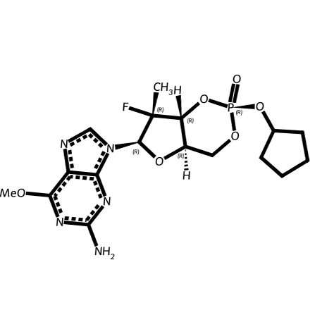 COc1nc(N)nc2c1ncn2[C@@H]1O[C@@H]2CO[P@](=O)(OC3CCCC3)O[C@H]2[C@@]1(C)F